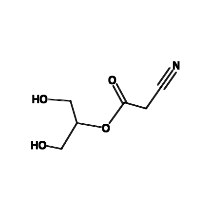 N#CCC(=O)OC(CO)CO